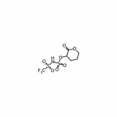 O=C1OCCCC1OS(=O)(=O)NS(=O)(=O)C(F)(F)F